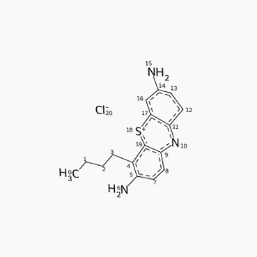 CCCCc1c(N)ccc2nc3ccc(N)cc3[s+]c12.[Cl-]